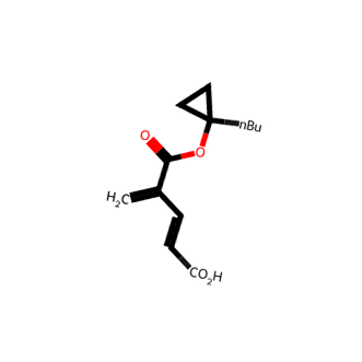 C=C(C=CC(=O)O)C(=O)OC1(CCCC)CC1